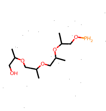 CC(CO)OCC(C)OCC(C)OC(C)COP